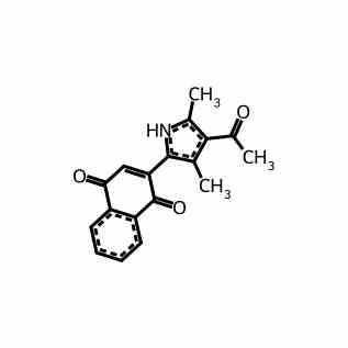 CC(=O)c1c(C)[nH]c(C2=CC(=O)c3ccccc3C2=O)c1C